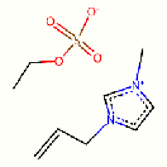 C=CCn1cc[n+](C)c1.CCOS(=O)(=O)[O-]